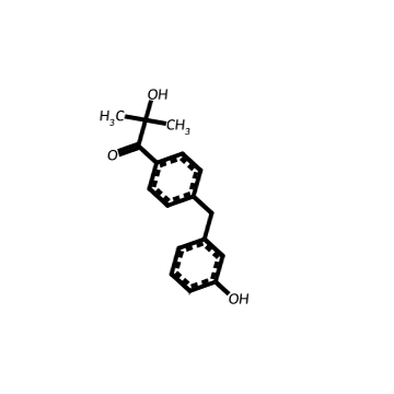 CC(C)(O)C(=O)c1ccc(Cc2cc[c]c(O)c2)cc1